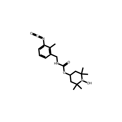 Cc1c(CNC(=O)OC2CC(C)(C)N(O)C(C)(C)C2)cccc1N=C=O